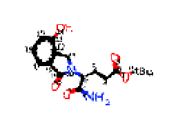 CC(C)(C)OC(=O)CC[C@@H](C(N)=O)N1Cc2c(O)cccc2C1=O